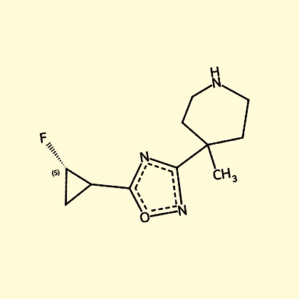 CC1(c2noc(C3C[C@@H]3F)n2)CCNCC1